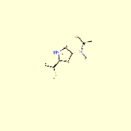 CC(F)[C@@H]1C[C@@H](N(C)C(C)C)CN1